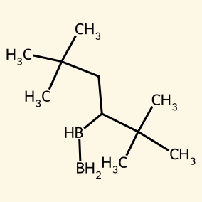 BBC(CC(C)(C)C)C(C)(C)C